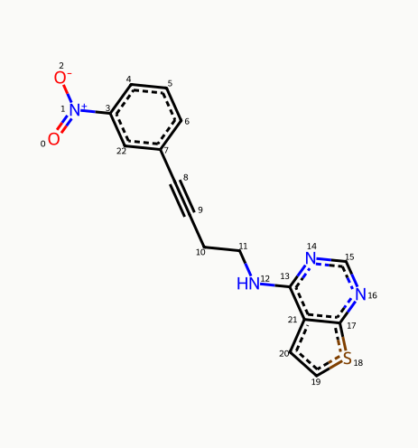 O=[N+]([O-])c1cccc(C#CCCNc2ncnc3sccc23)c1